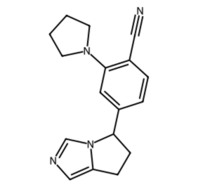 N#Cc1ccc(C2CCc3cncn32)cc1N1CCCC1